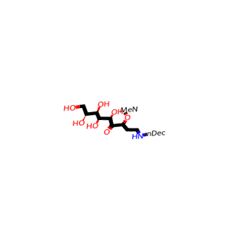 CCCCCCCCCCNCCC(ONC)C(=O)[C@H](O)[C@@H](O)[C@H](O)[C@H](O)CO